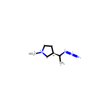 CC(N=[N+]=[N-])[C@@H]1CCN(C(=O)O)C1